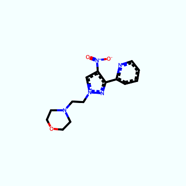 O=[N+]([O-])c1cn(CCN2CCOCC2)nc1-c1ccccn1